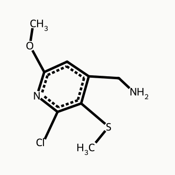 COc1cc(CN)c(SC)c(Cl)n1